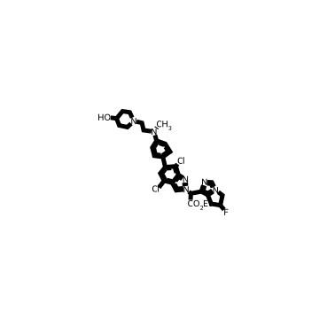 CCOC(=O)C(c1ncn2c1CC(F)C2)n1cc2c(Cl)cc(-c3ccc(N(C)CCN4CCC(O)CC4)cc3)c(Cl)c2n1